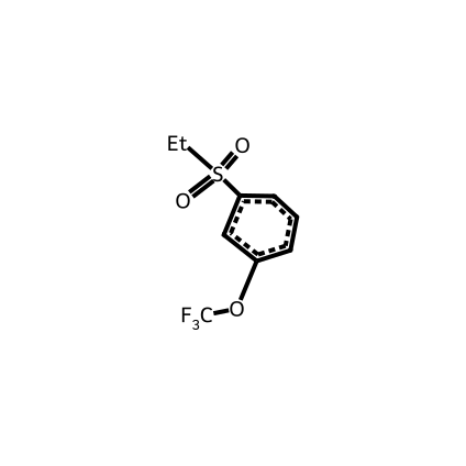 [CH2]CS(=O)(=O)c1cccc(OC(F)(F)F)c1